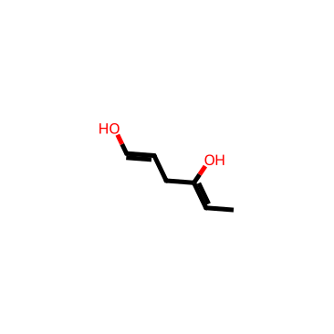 CC=C(O)CC=CO